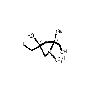 CC(C)(C)[C@]1(CO)C[C@@](O)(CI)CN1C(=O)O